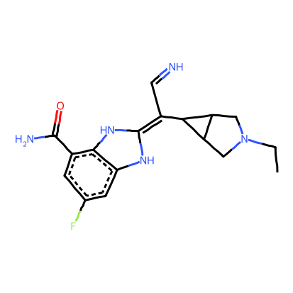 CCN1CC2C(C1)C2/C(C=N)=C1\Nc2cc(F)cc(C(N)=O)c2N1